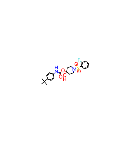 CC(C)(C)c1ccc(NC(=O)OC2(O)CCN(S(=O)(=O)c3ccccc3F)CC2)cc1